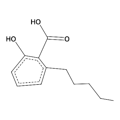 CCCCCc1cccc(O)c1C(=O)O